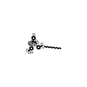 CCCCCCCCCCCCOC(=O)c1cccc(NC(=O)C(Cl)(Sc2nnnn2-c2cccc(C(=O)O)c2)C(=O)c2ccc(OC)cc2)c1